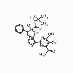 CC(c1ccccc1)[N+]([O-])(Nc1ccsc1-c1nc(O)c(O)c(C(N)=O)n1)C(=O)OC(C)(C)C